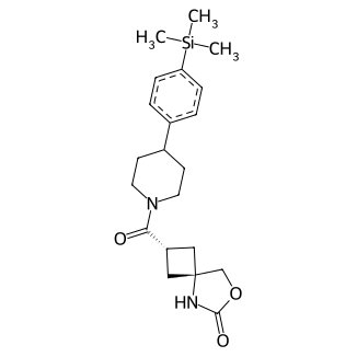 C[Si](C)(C)c1ccc(C2CCN(C(=O)[C@H]3C[C@]4(COC(=O)N4)C3)CC2)cc1